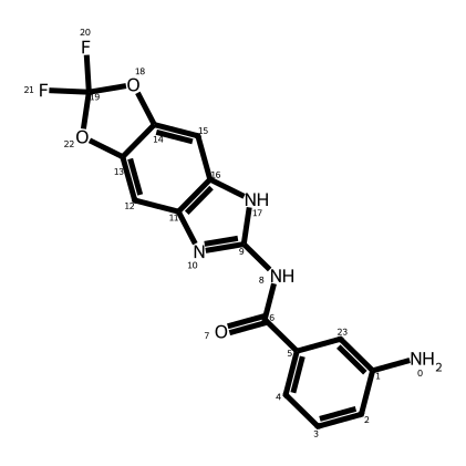 Nc1cccc(C(=O)Nc2nc3cc4c(cc3[nH]2)OC(F)(F)O4)c1